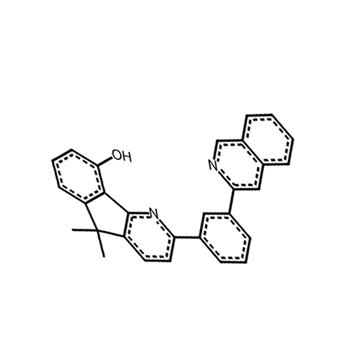 CC1(C)c2ccc(-c3cccc(-c4cc5ccccc5cn4)c3)nc2-c2c(O)cccc21